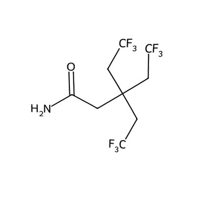 NC(=O)CC(CC(F)(F)F)(CC(F)(F)F)CC(F)(F)F